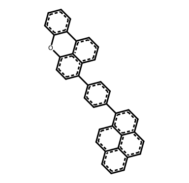 c1ccc2c(c1)Oc1ccc(-c3ccc(-c4ccc5ccc6cccc7ccc4c5c67)cc3)c3cccc-2c13